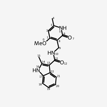 COc1cc(C)[nH]c(=O)c1CNC(=O)c1c(C)[nH]c2ccccc12